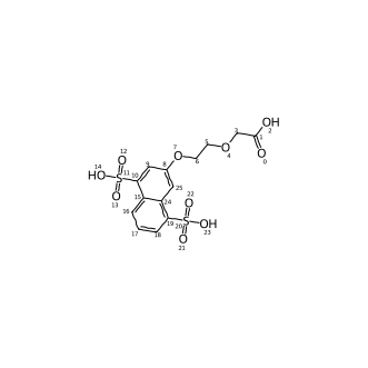 O=C(O)COCCOc1cc(S(=O)(=O)O)c2cccc(S(=O)(=O)O)c2c1